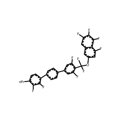 CCCc1ccc(-c2ccc(-c3cc(F)c(C(F)(F)Oc4cc(F)c5c(F)c(F)c(F)cc5c4)c(F)c3)cc2)c(F)c1F